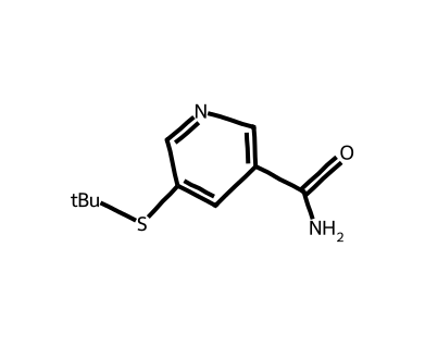 CC(C)(C)Sc1cncc(C(N)=O)c1